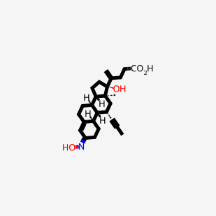 C=C(CCC(=O)O)[C@]1(O)CC[C@H]2[C@@H]3CCC4=CC(=NO)CC[C@@H]4[C@H]3[C@@H](C#CC)C[C@@]21C